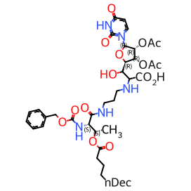 CCCCCCCCCCCCCC(=O)O[C@@H](C)[C@H](NC(=O)OCc1ccccc1)C(=O)NCCCNC(C(=O)O)C(O)[C@H]1O[C@@H](n2ccc(=O)[nH]c2=O)[C@H](OC(C)=O)[C@@H]1OC(C)=O